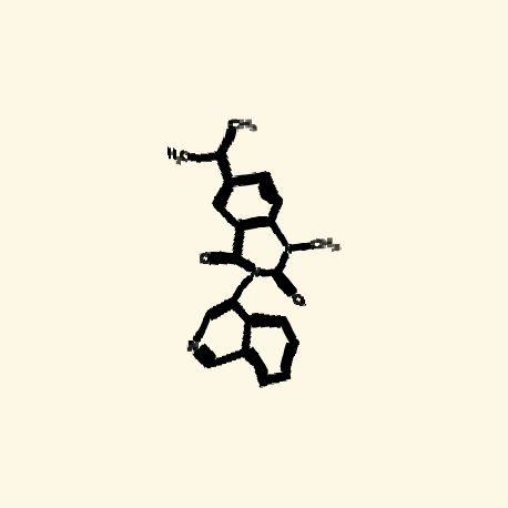 CC(C)c1ccc2c(c1)c(=O)n(-c1cncc3ccccc13)c(=O)n2C